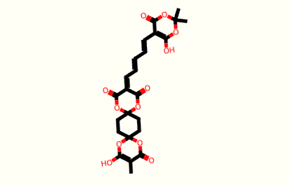 CC1=C(O)OC2(CCC3(CC2)OC(=O)C(=C/C=C/C=C/C2=C(O)OC(C)(C)OC2=O)C(=O)O3)OC1=O